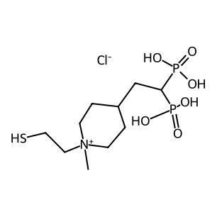 C[N+]1(CCS)CCC(CC(P(=O)(O)O)P(=O)(O)O)CC1.[Cl-]